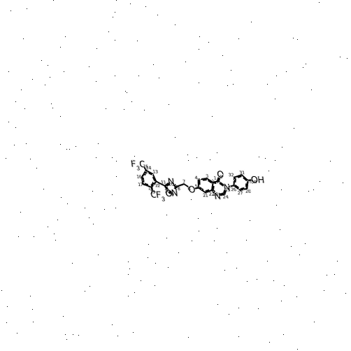 O=c1c2ccc(OCc3noc(-c4cc(C(F)(F)F)ccc4C(F)(F)F)n3)cc2ncn1-c1ccc(O)cc1